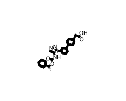 C[C@@H](OC(=O)Nc1cnnn1-c1cccc(-c2ccc(CC(=O)O)cc2)c1)c1ccccc1